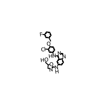 OCC1CN=C(Nc2ccc3ncnc(Nc4ccc(OCc5cccc(F)c5)c(Cl)c4)c3c2)O1